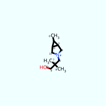 CC1C2CN(CC(C)(C)CO)CC12